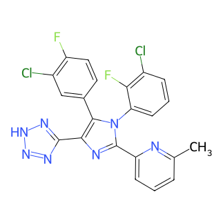 Cc1cccc(-c2nc(-c3nn[nH]n3)c(-c3ccc(F)c(Cl)c3)n2-c2cccc(Cl)c2F)n1